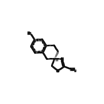 NC1=N[C@@]2(CCc3cc(Br)ccc3C2)CO1